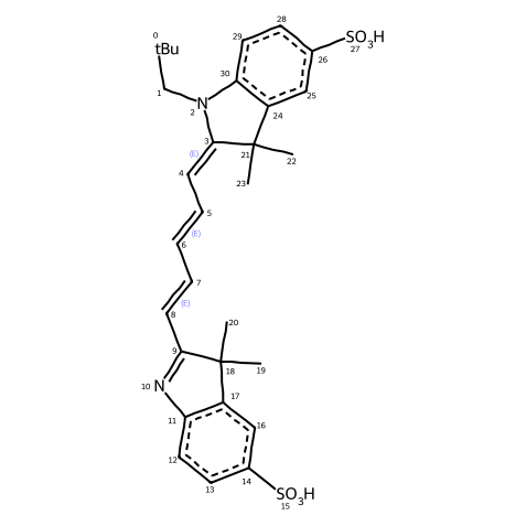 CC(C)(C)CN1/C(=C/C=C/C=C/C2=Nc3ccc(S(=O)(=O)O)cc3C2(C)C)C(C)(C)c2cc(S(=O)(=O)O)ccc21